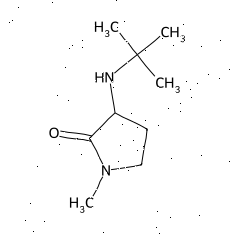 CN1CCC(NC(C)(C)C)C1=O